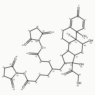 CC12C=CC(=O)C=C1CCC1C3CC(CC(CCCC(=O)ON4C(=O)CCC4=O)CCC(=O)ON4C(=O)CCC4=O)C(O)(C(=O)CO)C3CC(O)C12F